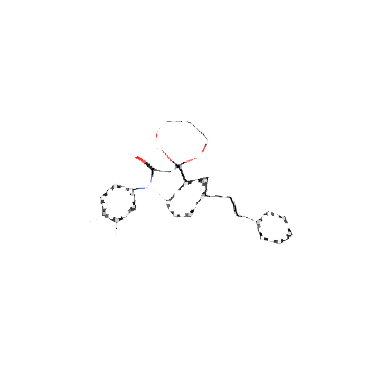 O=C1N(c2ccc(F)c(F)c2)c2ccc(CCc3ccccc3)cc2C12OCCCO2